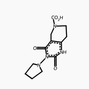 O=C(O)N1CCc2[nH]c(=O)n(N3CCCC3)c(=O)c2C1